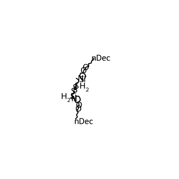 CCCCCCCCCCCCCCCOCOC1CCC[SiH2]N(C(C)CCSSSSCCC(C)N2CCC(OCOCCCCCCCCCCCCCCC)CCC[SiH2]2)CC1